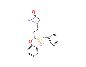 O=C1CC(CCC(Oc2ccccc2)[S+]([O-])Cc2ccccc2)N1